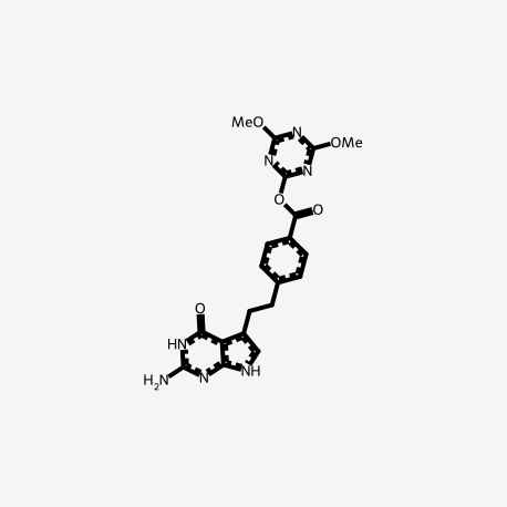 COc1nc(OC)nc(OC(=O)c2ccc(CCc3c[nH]c4nc(N)[nH]c(=O)c34)cc2)n1